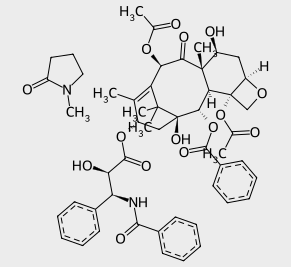 CC(=O)O[C@H]1C(=O)[C@@]2(C)[C@H]([C@H](OC(=O)c3ccccc3)[C@]3(O)C[C@H](OC(=O)[C@H](O)[C@@H](NC(=O)c4ccccc4)c4ccccc4)C(C)=C1C3(C)C)[C@]1(OC(C)=O)CO[C@@H]1C[C@@H]2O.CN1CCCC1=O